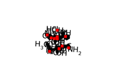 CN(C)CCn1nnnc1SCC1=C(C(=O)O)N2C(=O)[C@@H](NC(=O)Cc3csc(N)n3)[C@H]2SC1.Cl.Cl.NC(=O)c1cc[n+](CC2=C(C(=O)O)N3C(=O)[C@@H](NC(=O)C(c4ccccc4)S(=O)(=O)O)[C@H]3SC2)cc1.[Na+]